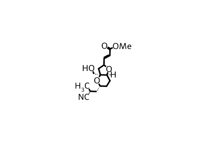 COC(=O)/C=C/C1C[C@]2(CO)O[C@@H](C[C@@H](C)C#N)CC[C@@H]2O1